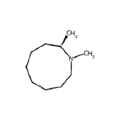 C[C@@H]1CCCCCCCN1C